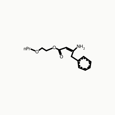 CCCOCCOC(=O)/C=C(/N)Cc1ccccc1